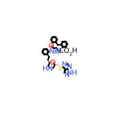 CN(C(=O)O)[C@H](C(=O)Nc1ccccc1CC[C@@H]1CNC[C@@H](CSc2ncnc3[nH]ncc23)O1)C(c1ccccc1)c1ccccc1